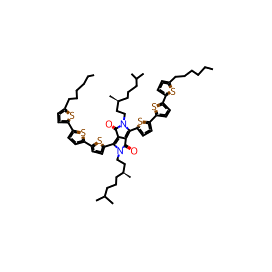 CCCCCCc1ccc(-c2ccc(-c3ccc(C4=C5C(=O)N(CC[C@@H](C)CCCC(C)C)C(c6ccc(-c7ccc(-c8ccc(CCCCCC)s8)s7)s6)=C5C(=O)N4CC[C@@H](C)CCCC(C)C)s3)s2)s1